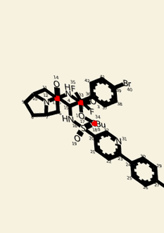 CC(C)(C)OC(=O)NC1CC2CCC(C1)N2C(=O)C(NS(=O)(=O)c1ccc(-c2ccc(F)cc2)nc1)C(F)(F)c1ccc(Br)cc1